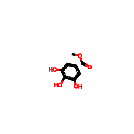 COC=O.Oc1cccc(O)c1O